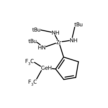 CC(C)(C)[NH][Zr]([NH]C(C)(C)C)([NH]C(C)(C)C)[C]1=[C]([GeH]([C](F)(F)F)[C](F)(F)F)C=CC1